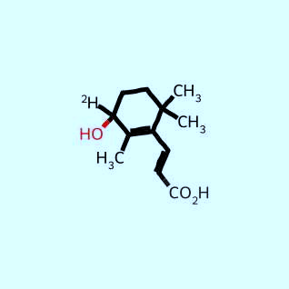 [2H]C1(O)CCC(C)(C)C(C=CC(=O)O)=C1C